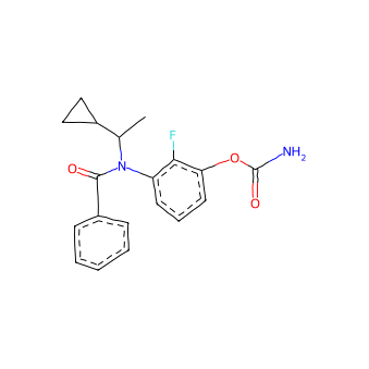 CC(C1CC1)N(C(=O)c1ccccc1)c1cccc(OC(N)=O)c1F